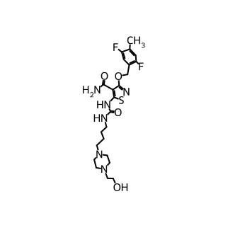 Cc1cc(F)c(COc2nsc(NC(=O)NCCCCN3CCN(CCO)CC3)c2C(N)=O)cc1F